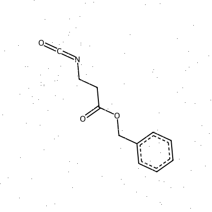 O=C=NCCC(=O)OCc1ccccc1